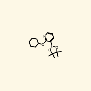 CC1(C)OB(c2cccnc2OC2CCCCC2)OC1(C)C